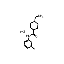 Cc1cccc(NC(=O)C2CCC(CN)CC2)c1.Cl